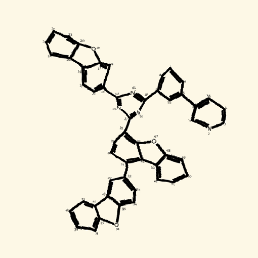 c1cncc(-c2cccc(-c3nc(-c4ccc5c(c4)oc4ccccc45)nc(-c4ccc(-c5ccc6oc7ccccc7c6c5)c5c4oc4ccccc45)n3)c2)c1